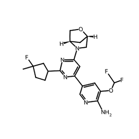 CC1(F)CCC(c2nc(-c3cnc(N)c(OC(F)F)c3)cc(N3C[C@@H]4C[C@H]3CO4)n2)C1